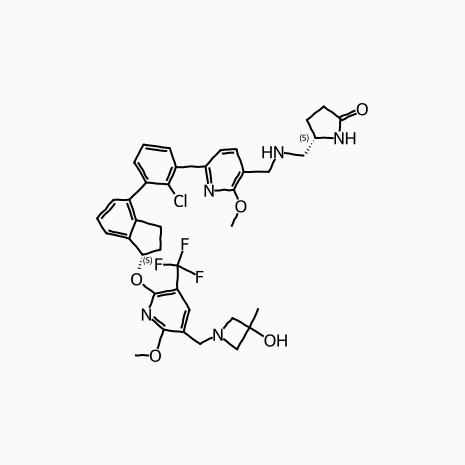 COc1nc(-c2cccc(-c3cccc4c3CC[C@@H]4Oc3nc(OC)c(CN4CC(C)(O)C4)cc3C(F)(F)F)c2Cl)ccc1CNC[C@@H]1CCC(=O)N1